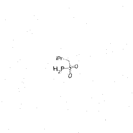 CC(C)CS(=O)(=O)P